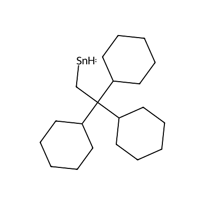 [SnH][CH2]C(C1CCCCC1)(C1CCCCC1)C1CCCCC1